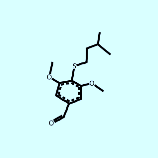 COc1cc(C=O)cc(OC)c1SCCC(C)C